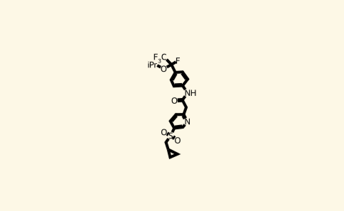 CC(C)OC(F)(c1ccc(NC(=O)Cc2ccc(S(=O)(=O)CC3CC3)cn2)cc1)C(F)(F)F